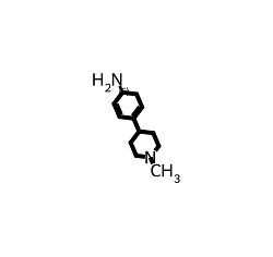 CN1CCC(C2=CC[C@H](N)C=C2)CC1